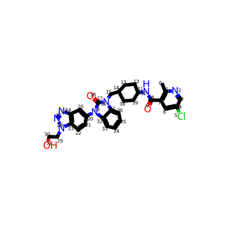 Cc1ncc(Cl)cc1C(=O)NC1CCC(Cn2c(=O)n(-c3ccc4c(c3)nnn4CCO)c3ccccc32)CC1